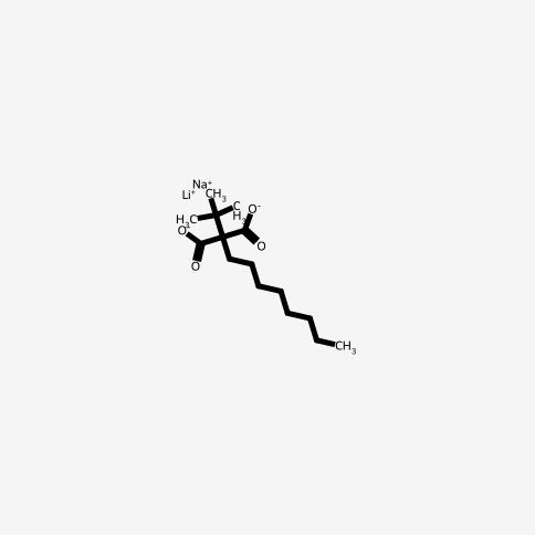 CCCCCCCCC(C(=O)[O-])(C(=O)[O-])C(C)(C)C.[Li+].[Na+]